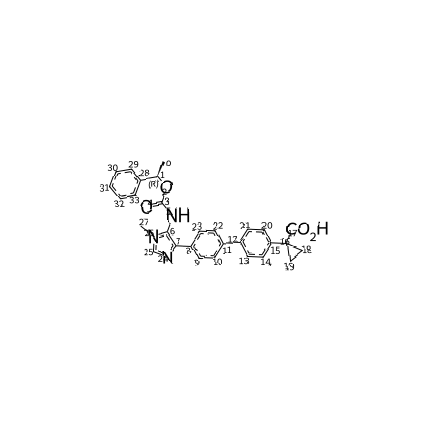 C[C@@H](OC(=O)Nc1c(-c2ccc(-c3ccc(C4(C(=O)O)CC4)cc3)cc2)ncn1C)c1ccccc1